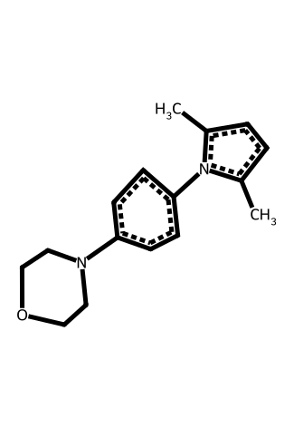 Cc1ccc(C)n1-c1ccc(N2CCOCC2)cc1